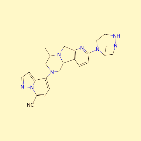 CC1CN(c2ccc(C#N)n3nccc23)CC2c3ccc(N4CCNN5CC4C5)nc3CN12